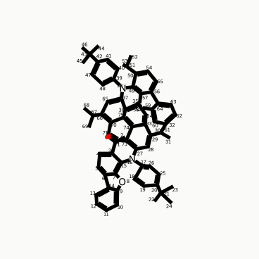 CC(C)c1ccc2c(oc3ccccc32)c1N(c1ccc(C(C)(C)C)cc1)c1cc(C(C)C)c2ccc3c(N(c4ccc(C(C)(C)C)cc4)c4c(C(C)C)ccc5c4oc4ccccc45)cc(C(C)C)c4ccc1c2c43